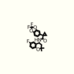 CC1(C)C[C@H](NC(=O)C2(c3ccc4c(c3)OC(F)(F)O4)CC2)c2cc(F)ccc2O1